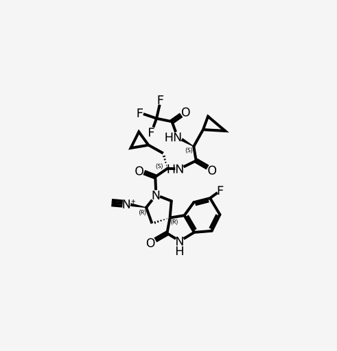 C#[N+][C@@H]1C[C@@]2(CN1C(=O)[C@H](CC1CC1)NC(=O)[C@@H](NC(=O)C(F)(F)F)C1CC1)C(=O)Nc1ccc(F)cc12